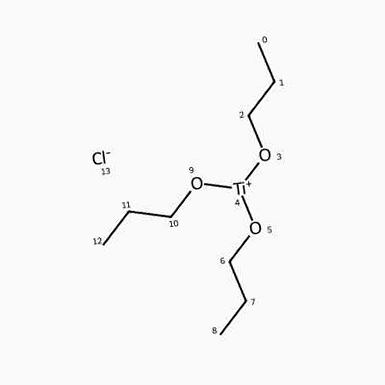 CCC[O][Ti+]([O]CCC)[O]CCC.[Cl-]